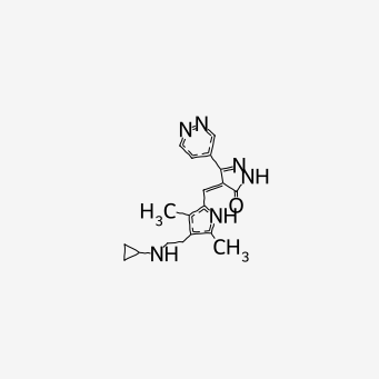 Cc1[nH]c(C=C2C(=O)NN=C2c2ccnnc2)c(C)c1CCNC1CC1